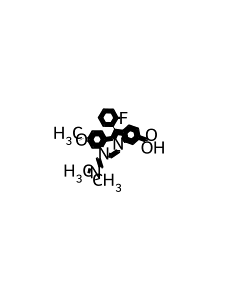 COc1ccc2c(c1)N(CCN(C)C)CCn1c-2c([C@@H]2CCCC[C@H]2F)c2ccc(C(=O)O)cc21